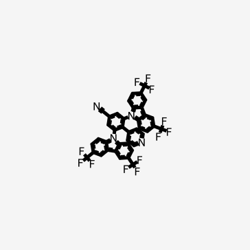 N#Cc1cc(-n2c3ccc(C(F)(F)F)cc3c3cc(C(F)(F)F)ccc32)c(-c2ccncc2)c(-n2c3ccc(C(F)(F)F)cc3c3cc(C(F)(F)F)ccc32)c1